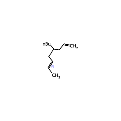 C=CCC(C/C=C/C)CCCC